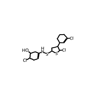 OC1CC(NSC2CC(C3C=C(Cl)CCC3)C(Cl)S2)=CCC1Cl